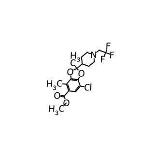 COC(=O)c1cc(Cl)c2c(c1C)OC(C)(C1CCN(CC(F)(F)F)CC1)O2